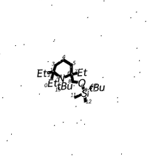 CCC1(CC)CCCC(CC)(CO[Si](C)(C)C(C)(C)C)N1C(C)(C)C